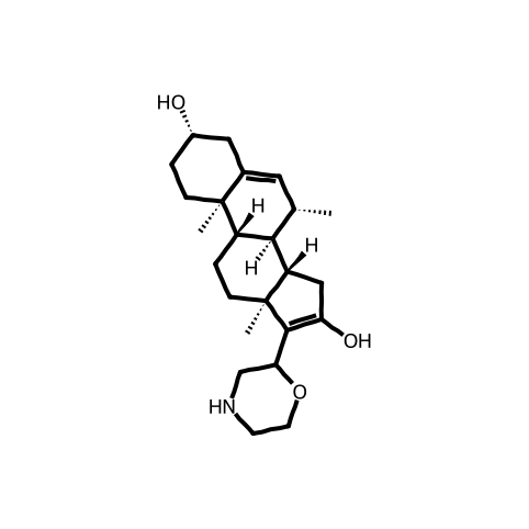 C[C@H]1C=C2C[C@@H](O)CC[C@]2(C)[C@H]2CC[C@]3(C)C(C4CNCCO4)=C(O)C[C@H]3[C@H]12